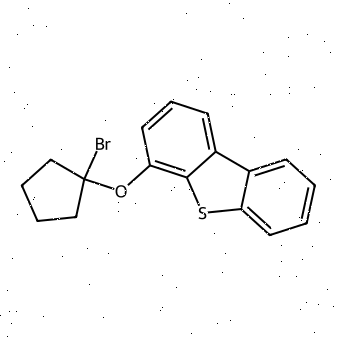 BrC1(Oc2cccc3c2sc2ccccc23)CCCC1